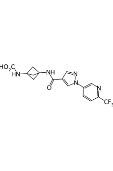 O=C(O)NC12CC(NC(=O)c3cnn(-c4ccc(C(F)(F)F)nc4)c3)(C1)C2